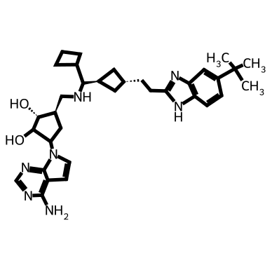 CC(C)(C)c1ccc2[nH]c(CC[C@H]3C[C@H](C(NC[C@H]4CC(n5ccc6c(N)ncnc65)C(O)[C@@H]4O)C4CCC4)C3)nc2c1